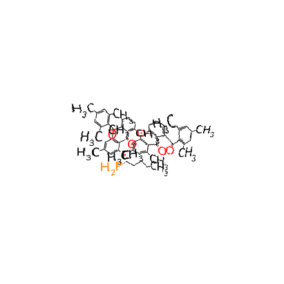 CCCCCP.Cc1cc(C)c(C(=O)c2cccc(Oc3cccc(C(=O)c4c(C)cc(C)cc4C)c3C(=O)c3c(C)cc(C)cc3C)c2C(=O)c2c(C)cc(C)cc2C)c(C)c1